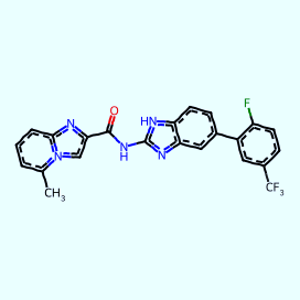 Cc1cccc2nc(C(=O)Nc3nc4cc(-c5cc(C(F)(F)F)ccc5F)ccc4[nH]3)cn12